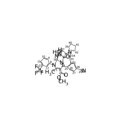 COC(=O)C1=C(C)N(c2cccc(C(F)(F)F)c2)c2n[nH]c(=O)n2C1c1ccc(C#N)cc1CC[N+]1(CCO)CCCC1